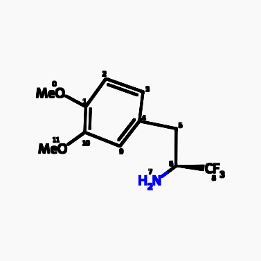 COc1ccc(C[C@H](N)C(F)(F)F)cc1OC